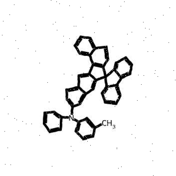 Cc1cccc(N(c2ccccc2)c2ccc3cc4c(cc3c2)C2(c3ccccc3-c3ccccc32)c2ccc3ccccc3c2-4)c1